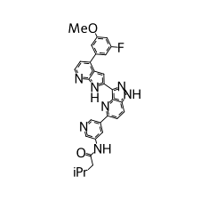 COc1cc(F)cc(-c2ccnc3[nH]c(-c4n[nH]c5ccc(-c6cncc(NC(=O)CC(C)C)c6)nc45)cc23)c1